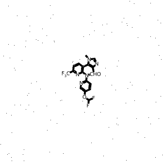 Cc1ncn(C)c1-c1ccc(C(F)(F)F)nc1N(C=O)c1ccc(OC(F)F)cn1